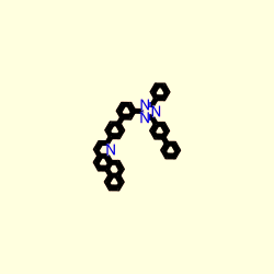 c1ccc(-c2ccc(-c3nc(-c4ccccc4)nc(-c4cccc(-c5ccc(-c6ccc7ccc8c9ccccc9ccc8c7n6)cc5)c4)n3)cc2)cc1